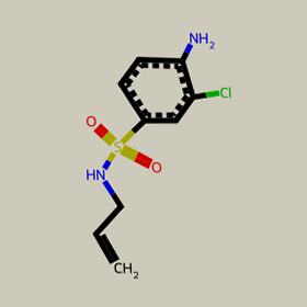 C=CCNS(=O)(=O)c1ccc(N)c(Cl)c1